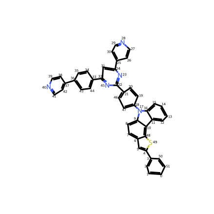 c1ccc(-c2cc3ccc4c(c5ccccc5n4-c4ccc(-c5nc(-c6ccncc6)cc(-c6ccc(-c7ccncc7)cc6)n5)cc4)c3s2)cc1